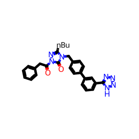 CCCCc1nn(C(=O)Cc2ccccc2)c(=O)n1Cc1ccc(-c2cccc(-c3nnn[nH]3)c2)cc1